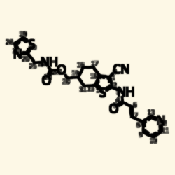 N#Cc1c(NC(=O)C=Cc2cccnc2)sc2c1CCC(COC(=O)NCc1nccs1)C2